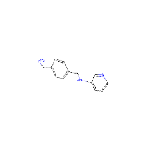 NCc1ccc(CNc2cccnc2)cc1